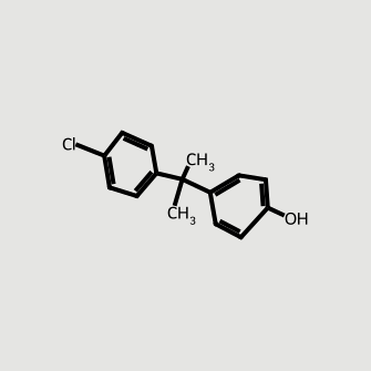 CC(C)(c1ccc(O)cc1)c1ccc(Cl)cc1